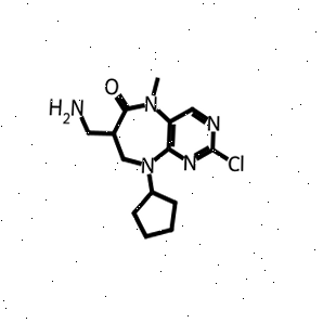 CN1C(=O)C(CN)CN(C2CCCC2)c2nc(Cl)ncc21